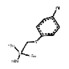 CCCC[Si](CCCC)(CCCC)CSc1ccc(O)cc1